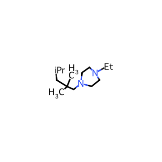 CCN1CCN(CC(C)(C)CC(C)C)CC1